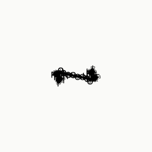 O=C(NOCCOCCOCCOCCOCCONC(=O)c1ccc(F)c(F)c1Nc1ccc(I)cc1F)c1ccc(F)c(F)c1Nc1ccc(I)cc1F